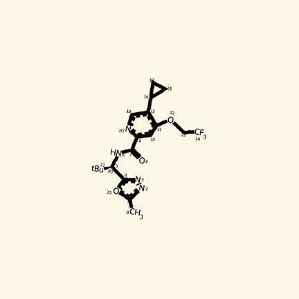 Cc1nnc([C@H](NC(=O)c2cc(OCC(F)(F)F)c(C3CC3)cn2)C(C)(C)C)o1